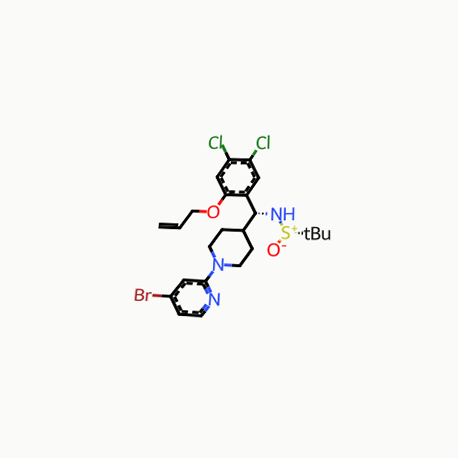 C=CCOc1cc(Cl)c(Cl)cc1[C@H](N[S@@+]([O-])C(C)(C)C)C1CCN(c2cc(Br)ccn2)CC1